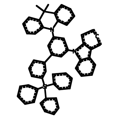 CC1(C)c2ccccc2N(c2cc(-c3cccc([Si](c4ccccc4)(c4ccccc4)c4ccccc4)c3)cc(-n3c4ccccc4c4ccccc43)c2)c2ccccc21